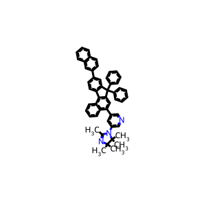 CC1=NC(C)(C)C(C)(C)N1c1cncc(-c2cc3c(c4ccccc24)-c2ccc(-c4ccc5ccccc5c4)cc2C3(c2ccccc2)c2ccccc2)c1